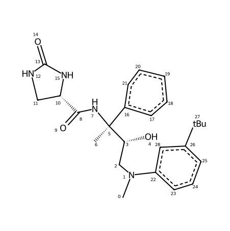 CN(C[C@@H](O)[C@@](C)(NC(=O)[C@@H]1CNC(=O)N1)c1ccccc1)c1cccc(C(C)(C)C)c1